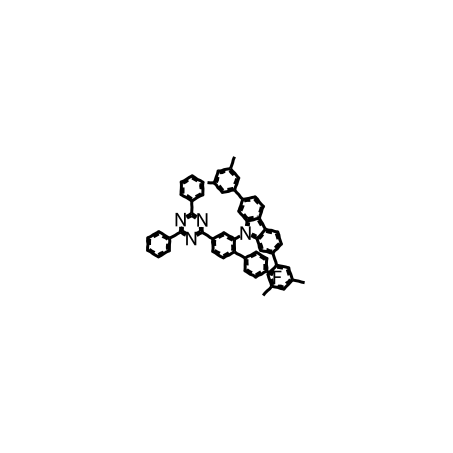 Cc1cc(C)cc(-c2ccc3c4ccc(-c5cc(C)cc(C)c5)cc4n(-c4cc(-c5nc(-c6ccccc6)nc(-c6ccccc6)n5)ccc4-c4ccc(F)cc4)c3c2)c1